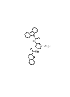 O=C(O)c1cc(NC(=O)c2ccc3ccccc3n2)cc(NC(=O)n2c3ccccc3c3ccccc32)c1